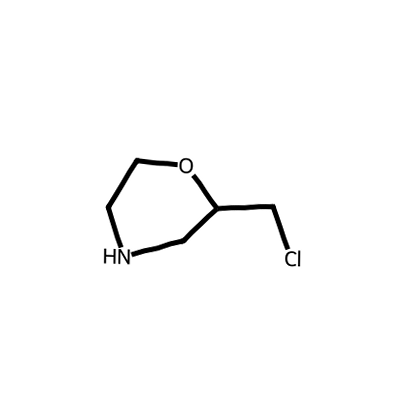 ClCC1CNCCO1